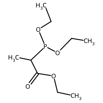 CCOC(=O)C(C)P(OCC)OCC